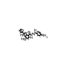 Nc1ccc(NCCNC(=O)c2ccc(O)c3[nH]c(-c4ccco4)nc23)nc1